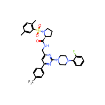 Cc1ccc(C)c(S(=O)(=O)N2CCC[C@H]2C(=O)NCc2cc(-c3ccc(C(F)(F)F)cc3)nc(N3CCN(c4ccccc4F)CC3)n2)c1